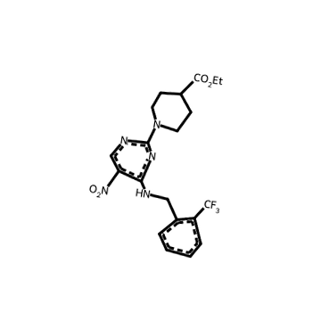 CCOC(=O)C1CCN(c2ncc([N+](=O)[O-])c(NCc3ccccc3C(F)(F)F)n2)CC1